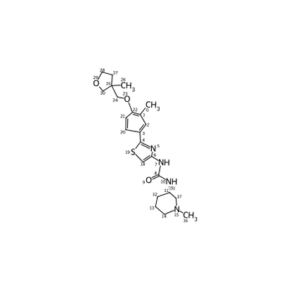 Cc1cc(-c2nc(NC(=O)N[C@H]3CCCN(C)C3)cs2)ccc1OCC1(C)CCOC1